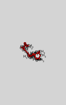 CNN(C)Cc1cc2ccccc2n1CCC(=O)N[C@@H](CCC(=O)O)C(=O)NCCOCCOCCC(=O)NC(C(=O)N[C@@H](C)C(=O)N(C)[C@@H](C)C(=O)O[C@H]1CC(=O)N(C)c2cc(cc(OC)c2Cl)C/C(C)=C/C=C/[C@@H](OC)[C@@]2(O)C[C@H](OC(=O)N2)[C@@H](C)[C@@H]2C[C@]12C)C(C)C